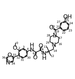 COc1cc(NC(=O)C(=O)NC(C)(C)CN2CCN(C(=O)c3cccc(O)c3)CC2)ccc1-c1cnco1